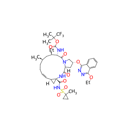 CCOc1nnc(O[C@@H]2C[C@H]3C(=O)N[C@]4(C(=O)NS(=O)(=O)C5(C)CC5)C[C@H]4/C=C\CC[C@@H](C)C[C@@H](CC)[C@H](NC(=O)OC(C)(C)C(F)(F)F)C(=O)N3C2)c2ccccc12